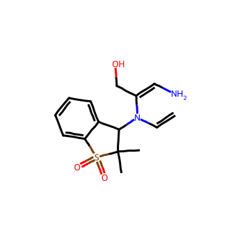 C=CN(/C(=C\N)CO)C1c2ccccc2S(=O)(=O)C1(C)C